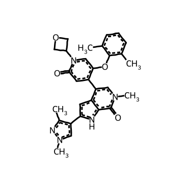 Cc1cccc(C)c1Oc1cn(C2COC2)c(=O)cc1-c1cn(C)c(=O)c2[nH]c(-c3cn(C)nc3C)cc12